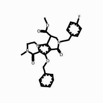 COC(=O)C1CN(Cc2ccc(F)cc2)C(=O)c2c(OCc3ccccc3)c3n(c21)CCN(C)C3=O